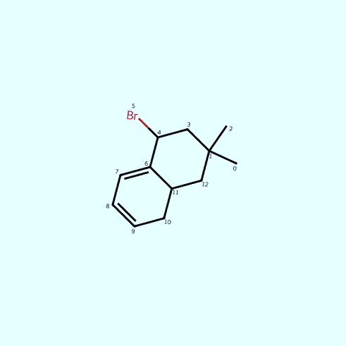 CC1(C)CC(Br)C2=CC=CCC2C1